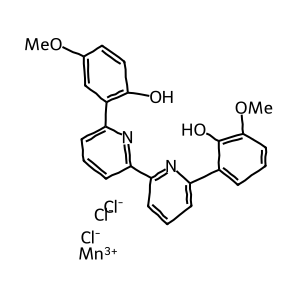 COc1ccc(O)c(-c2cccc(-c3cccc(-c4cccc(OC)c4O)n3)n2)c1.[Cl-].[Cl-].[Cl-].[Mn+3]